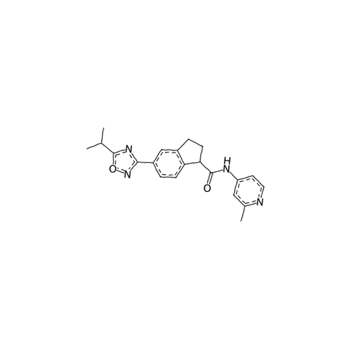 Cc1cc(NC(=O)C2CCc3cc(-c4noc(C(C)C)n4)ccc32)ccn1